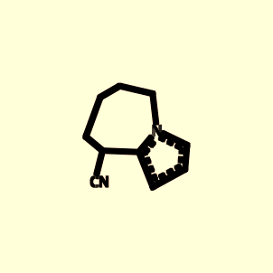 N#CC1CCCCn2cccc21